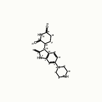 C=C1Nc2cc(N3CCNCC3)ccc2N1C1CCC(=O)NC1=O